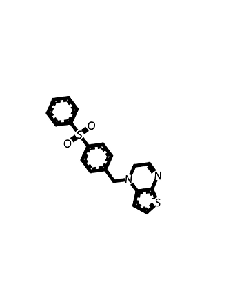 O=S(=O)(c1ccccc1)c1ccc(CN2CC=Nc3sccc32)cc1